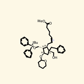 COC(=O)CCC/C=C\C[C@@H]1[C@@H](CO[Si](c2ccccc2)(c2ccccc2)C(C)(C)C)[C@H](OC2CCCCO2)C[C@@]1(CO)Cc1ccccc1